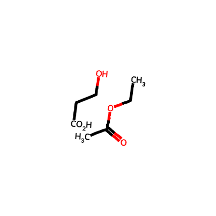 CCOC(C)=O.O=C(O)CCO